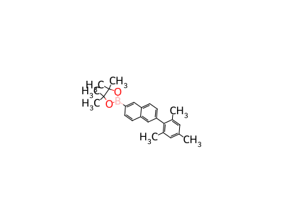 Cc1cc(C)c(-c2ccc3cc(B4OC(C)(C)C(C)(C)O4)ccc3c2)c(C)c1